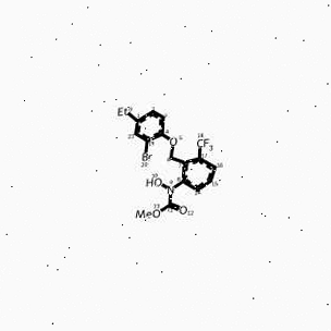 CCc1ccc(OCc2c(N(O)C(=O)OC)cccc2C(F)(F)F)c(Br)c1